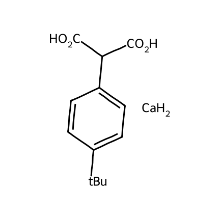 CC(C)(C)c1ccc(C(C(=O)O)C(=O)O)cc1.[CaH2]